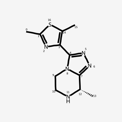 Cc1nc(-c2nnc3n2CCN[C@H]3C)c(C)s1